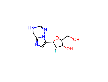 OCC1OC(c2cnc3n2N=CNC3)[C@H](F)[C@@H]1O